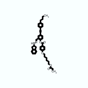 C=CC(=O)OCCCCCCOc1ccc(C(=O)Oc2ccc(C#Cc3ccc(CCCC)cc3)cc2/C=N/NC2Cc3ccccc3C2)cc1